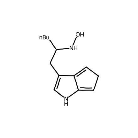 CCCCC(Cc1c[nH]c2c1=CCC=2)NO